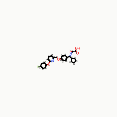 O=C(O)[C@@H]1ON1C(c1ccc(OCc2cccc(Oc3ccc(F)cc3)n2)cc1)C1CCCC1